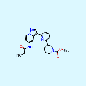 CC(C)(C)OC(=O)N1CCCC(c2cccc(-c3cnn4ccc(NC(=O)CC#N)cc34)n2)C1